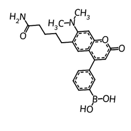 CN(C)c1cc2oc(=O)cc(-c3cccc(B(O)O)c3)c2cc1CCCCC(N)=O